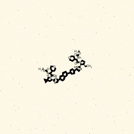 CC[C@@H]1CCN(C(=O)[C@@H](NC(=O)OC)C2CCOCC2)[C@@H]1c1ncc(-c2ccc(-c3ccc4cc(-c5cnc([C@@H]6CC7(CC7)CN6C(=O)C(NC(=O)OC)C6CCOCC6)[nH]5)ccc4c3)cc2)[nH]1